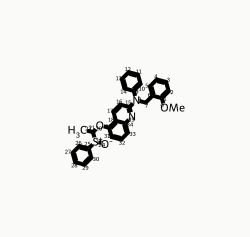 COc1ccccc1CN(c1ccccc1)c1ccc2c(OC(C)[S+]([O-])c3ccccc3)cccc2n1